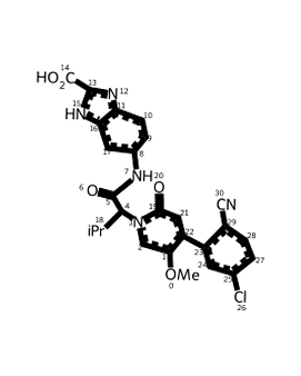 COc1cn(C(C(=O)Nc2ccc3nc(C(=O)O)[nH]c3c2)C(C)C)c(=O)cc1-c1cc(Cl)ccc1C#N